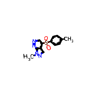 Cc1ccc(S(=O)(=O)c2cnnc3c2cnn3C)cc1